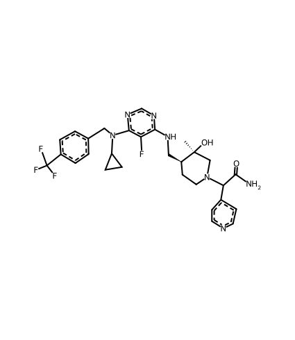 C[C@]1(O)CN(C(C(N)=O)c2ccncc2)CC[C@H]1CNc1ncnc(N(Cc2ccc(C(F)(F)F)cc2)C2CC2)c1F